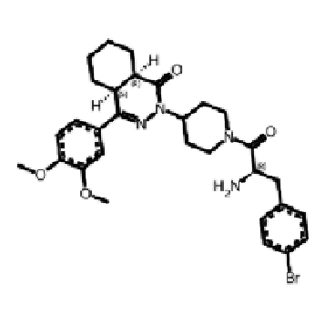 COc1ccc(C2=NN(C3CCN(C(=O)[C@H](N)Cc4ccc(Br)cc4)CC3)C(=O)[C@@H]3CCCC[C@H]23)cc1OC